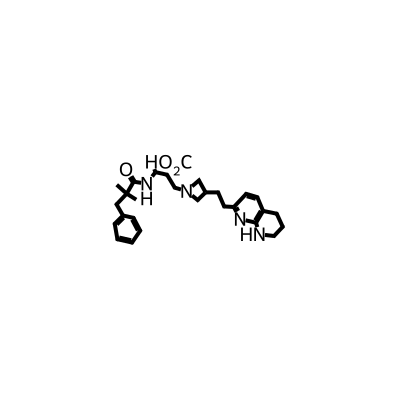 CC(C)(Cc1ccccc1)C(=O)NC(CCN1CC(CCc2ccc3c(n2)NCCC3)C1)C(=O)O